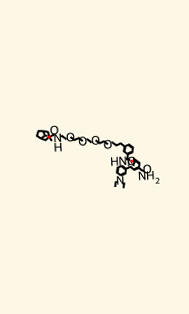 CCN(CC)c1ccc(NC(=O)c2cccc(CCCOCCOCCOCCOCCNC(=O)C3(C)CC4CCC(C3)C4C)c2)c(-c2cc(C(N)=O)ccn2)c1